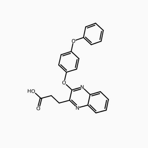 O=C(O)CCc1nc2ccccc2nc1Oc1ccc(Oc2ccccc2)cc1